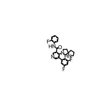 O=C(Nc1ccccc1F)c1cncc(-c2cc(F)cc(F)c2)c1N1CCC2(CCCN2)C1